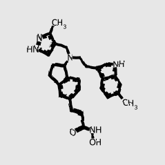 Cc1ccc2c(CCN(Cc3c[nH]nc3C)C3CCc4cc(C=CC(=O)NO)ccc43)c[nH]c2c1